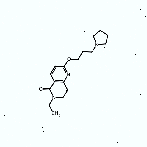 CCN1CCc2nc(OCCCN3CCCC3)ccc2C1=O